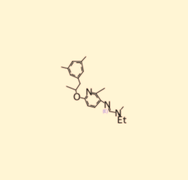 CCN(C)/C=N/c1ccc(OC(C)Cc2cc(C)cc(C)c2)nc1C